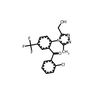 Cc1nnc(CO)n1-c1ccc(C(F)(F)F)cc1C(=O)c1ccccc1Cl